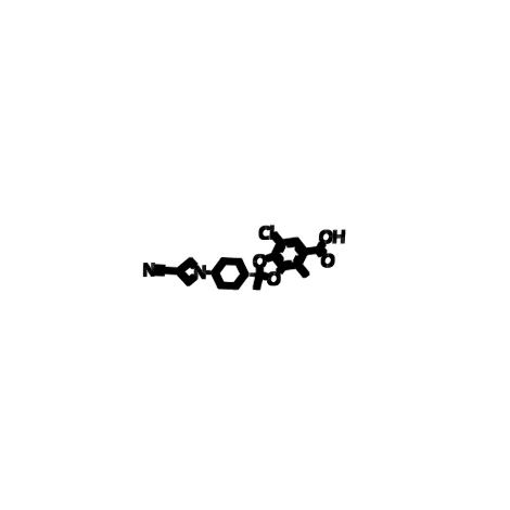 Cc1c(C(=O)O)cc(Cl)c2c1OC(C)([C@H]1CC[C@@H](N3CC(C#N)C3)CC1)O2